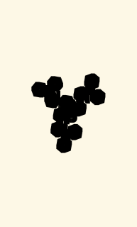 O=P(c1cccc(-c2cccc(N(c3ccccc3)c3ccccc3)n2)n1)(c1cccc(-c2cccc(N(c3ccccc3)c3ccccc3)n2)n1)c1cccc(-c2cccc(N(c3ccccc3)c3ccccc3)n2)n1